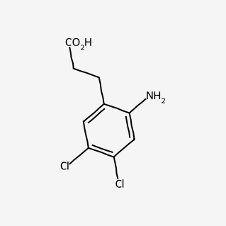 Nc1cc(Cl)c(Cl)cc1CCC(=O)O